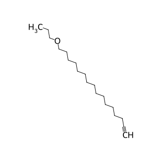 C#CCCCCCCCCCCCCCCOCCC